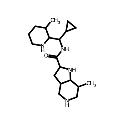 CC1CNCC2CC(C(=O)NC(C3CC3)C3NCCCC3C)NC12